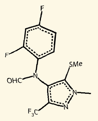 CSc1c(N(C=O)c2ccc(F)cc2F)c(C(F)(F)F)nn1C